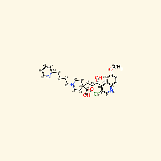 COc1ccc2ncc(Cl)c([C@H](O)CCC3(C(=O)O)CCN(CCCCc4ccccn4)CC3)c2c1